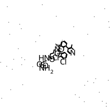 Cc1cnccc1-c1cccc([C@H](C)N(CCCC(=O)NCCS(N)(=O)=O)S(=O)(=O)c2cccc(Cl)c2Cl)c1